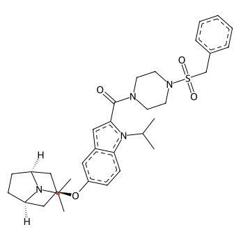 CC(C)N1[C@@H]2CC[C@H]1C[C@@H](Oc1ccc3c(c1)cc(C(=O)N1CCN(S(=O)(=O)Cc4ccccc4)CC1)n3C(C)C)C2